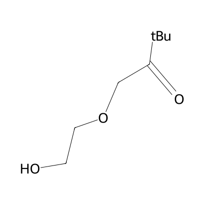 CC(C)(C)C(=O)COCCO